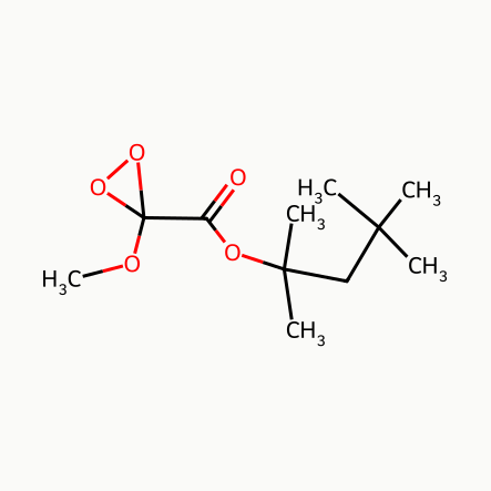 COC1(C(=O)OC(C)(C)CC(C)(C)C)OO1